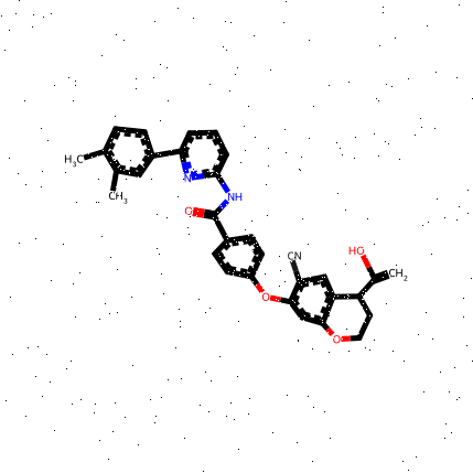 C=C(O)C1CCOc2cc(Oc3ccc(C(=O)Nc4cccc(-c5ccc(C)c(C)c5)n4)cc3)c(C#N)cc21